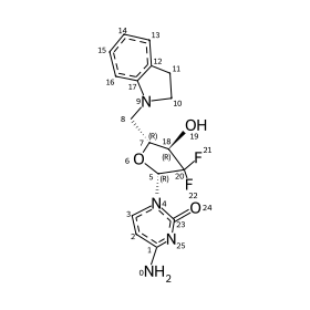 Nc1ccn([C@@H]2O[C@H](CN3CCc4ccccc43)[C@@H](O)C2(F)F)c(=O)n1